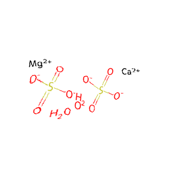 O.O.O=S(=O)([O-])[O-].O=S(=O)([O-])[O-].[Ca+2].[Mg+2]